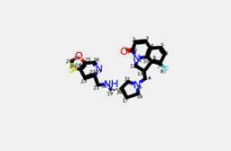 O=c1ccc2ccc(F)c3c2n1CC3CN1CC[C@H](CNCc2cc3c(cn2)OCS3)C1